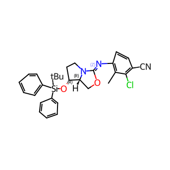 Cc1c(/N=C2\OC[C@@H]3[C@H](O[Si](c4ccccc4)(c4ccccc4)C(C)(C)C)CCN23)ccc(C#N)c1Cl